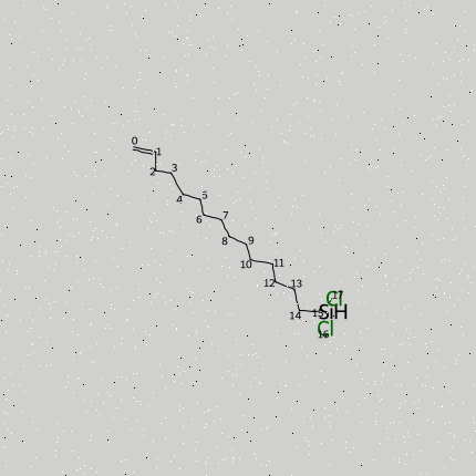 C=CCCCCCCCCCCCCC[SiH](Cl)Cl